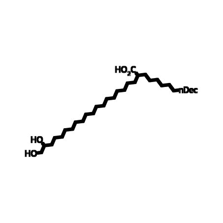 CCCCCCCCCCCCCCCCC(CCCCCCCCCCCCCCCCCC(O)CO)C(=O)O